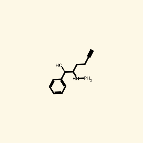 C#CCCC(NP)[C@H](O)c1ccccc1